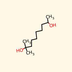 CC(O)CCCCCCC(C)(C)O